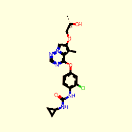 Cc1c(OC[C@H](C)O)cn2ncnc(Oc3ccc(NC(=O)NC4CC4)c(Cl)c3)c12